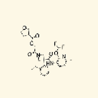 Cc1ccc(NC(=O)C2(c3ccccc3C(C)C)CN(C(=O)COC(=O)C3CCOC3)C2)c(OC(F)F)n1